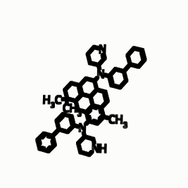 Cc1cc(N(C2=CC=CC(c3ccccc3)C2)C2CCCNC2)c2c3c1C=CC1C3C3=C(CCC(C)(C)C3C2)CC1N(C1=CCCC(C2CC=CCC2)C1)C1C=NCCC1